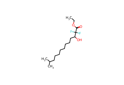 CCOC(=O)C(F)(F)C(O)CCCCCCCCC(C)C